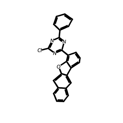 Clc1nc(-c2ccccc2)nc(-c2cccc3c2oc2cc4ccccc4cc23)n1